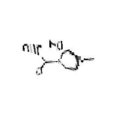 CN1CCN([C@@H](Cl)C=O)CC1.Cl